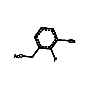 CC(=O)OCc1cccc(C(C)(C)C)c1F